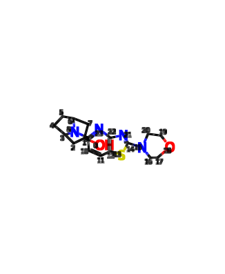 OC1CC2CCC(C1)N2c1ccc2sc(N3CCOCC3)nc2n1